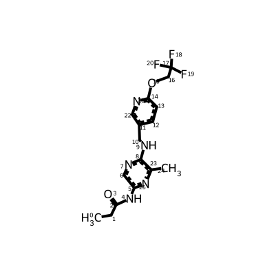 CCC(=O)Nc1cnc(NCc2ccc(OCC(F)(F)F)nc2)c(C)n1